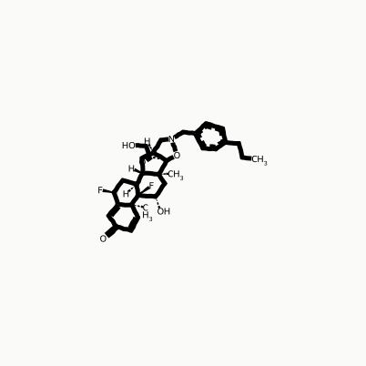 CCCc1ccc(CN2C[C@@H]3C[C@H]4[C@@H]5C[C@H](F)C6=CC(=O)C=C[C@]6(C)[C@@]5(F)[C@@H](O)C[C@]4(C)[C@]3(C(=O)CO)O2)cc1